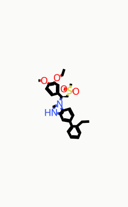 CCOc1cc([C@@H](CS(C)(=O)=O)N2CNc3cc(-c4ccccc4CC)ccc32)ccc1OC